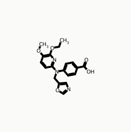 CCOc1nc(N(Cc2cnco2)c2ccc(C(=O)O)cc2)ccc1OC